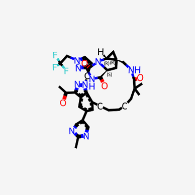 CC(=O)c1nn2c3c(cc(-c4cnc(C)nc4)cc13)CCCCCC(C)(C)C(=O)NC[C@@]13C[C@@H](C(=O)Nc4ccn(CC(F)(F)F)n4)N(C(=O)C2)[C@@H]1C3